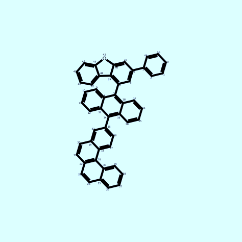 c1ccc(-c2cc(-c3c4ccccc4c(-c4ccc5c(ccc6ccc7ccccc7c65)c4)c4ccccc34)c3c(c2)oc2ccccc23)cc1